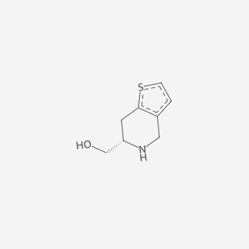 OC[C@@H]1Cc2sccc2CN1